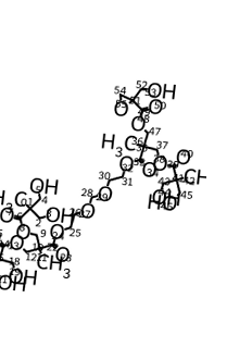 CC(CO)(CO)C(=O)OCC(C)(COC(=O)C(C)(CO)CO)C(=O)OCCOCOCCOC(=O)C(C)(COC(=O)C(C)(CO)CO)COC(=O)C1(CO)CO1